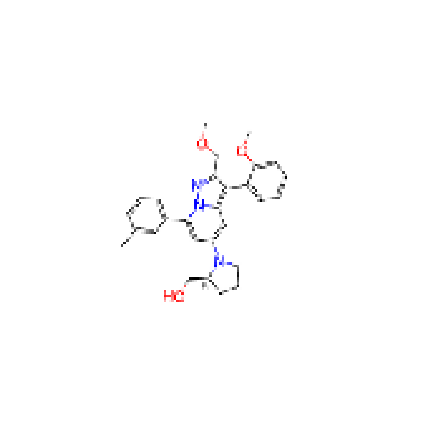 COCc1nn2c(-c3cccc(C)c3)cc(N3CCC[C@H]3CO)cc2c1-c1ccccc1OC